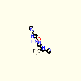 O=C(Nc1ccc(C2N=C(c3cccnc3)C=C2C(F)(F)F)cn1)c1ccc(CCN2CCCC2)nc1